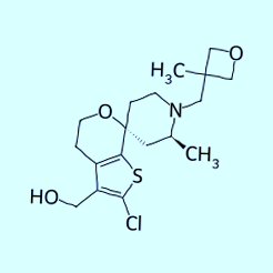 C[C@H]1C[C@@]2(CCN1CC1(C)COC1)OCCc1c2sc(Cl)c1CO